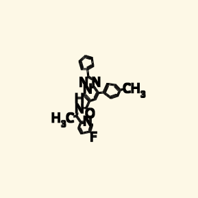 Cc1ccc(-c2cc(C(=O)N[C@H](C)c3ccc(F)cn3)cn3nc(-c4ccccc4)nc23)cc1